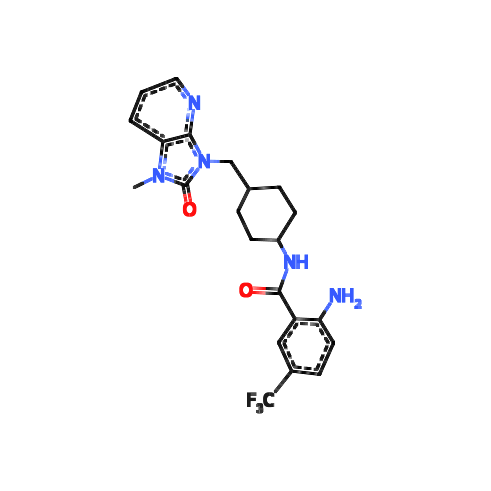 Cn1c(=O)n(CC2CCC(NC(=O)c3cc(C(F)(F)F)ccc3N)CC2)c2ncccc21